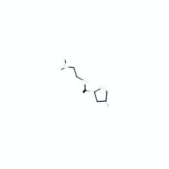 C[C@@H]1CN[C@H](C(=O)NCCN(C)C)C1